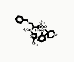 Cc1ccc(N(C)C(COCc2ccccc2)C(=O)N[N+]2(S(C)(=O)=O)CC3(CCNCC3)c3ccccc32)s1